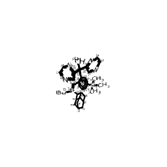 CC(C)(C)P(C[C]12[CH]3[C]4([Si](C)(C)C)[CH]5[C]1(C(P)(c1cnccn1)c1cnccn1)[Fe]35241678[CH]2[CH]1[CH]6[CH]7[CH]28)C1C2CC3CC(C2)CC1C3